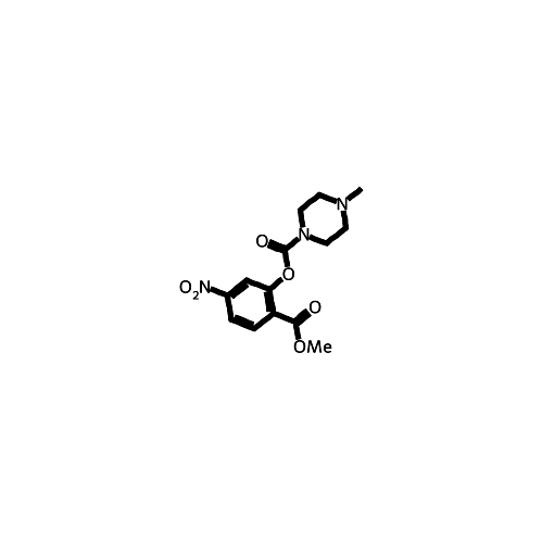 COC(=O)c1ccc([N+](=O)[O-])cc1OC(=O)N1CCN(C)CC1